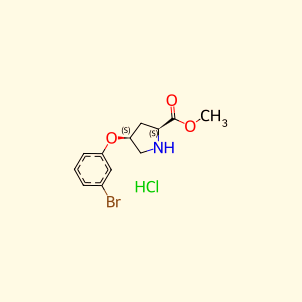 COC(=O)[C@@H]1C[C@H](Oc2cccc(Br)c2)CN1.Cl